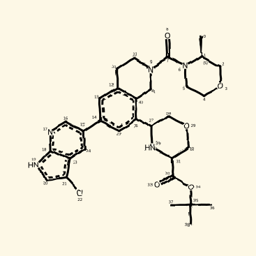 C[C@H]1COCCN1C(=O)N1CCc2cc(-c3cnc4[nH]cc(Cl)c4c3)cc(C3COCC(C(=O)OC(C)(C)C)N3)c2C1